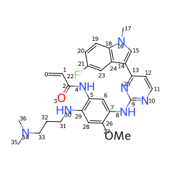 C=CC(=O)Nc1cc(Nc2nccc(-c3cn(C)c4ccc(F)cc34)n2)c(OC)cc1NCCCN(C)C